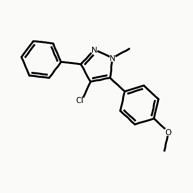 COc1ccc(-c2c(Cl)c(-c3ccccc3)nn2C)cc1